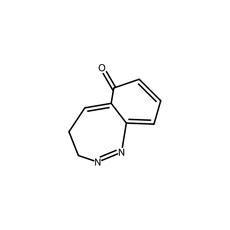 O=C1C=CC=C2N=NCCC=C12